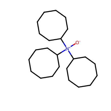 [O-][N+](C1CCCCCCC1)(C1CCCCCCC1)C1CCCCCCC1